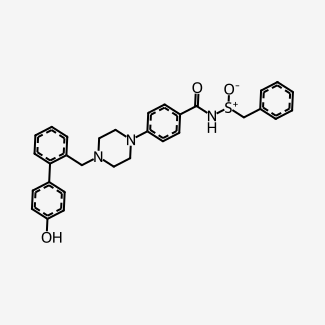 O=C(N[S+]([O-])Cc1ccccc1)c1ccc(N2CCN(Cc3ccccc3-c3ccc(O)cc3)CC2)cc1